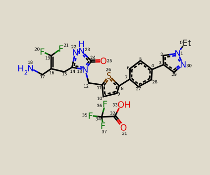 CCn1cc(-c2ccc(-c3ccc(Cn4c(CC(CN)=C(F)F)n[nH]c4=O)s3)cc2)cn1.O=C(O)C(F)(F)F